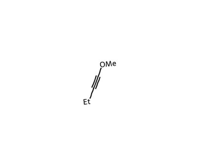 [CH2]CC#COC